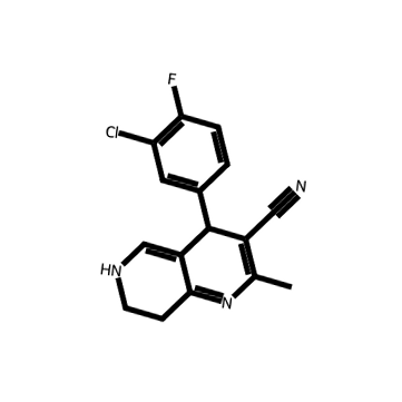 CC1=C(C#N)C(c2ccc(F)c(Cl)c2)C2=CNCCC2=N1